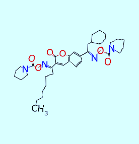 CCCCCCC/C(=N\OC(=O)N1CCCCC1)c1cc2ccc(/C(CC3CCCCC3)=N/OC(=O)N3CCCCC3)cc2oc1=O